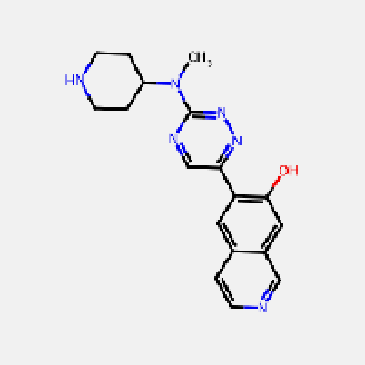 CN(c1ncc(-c2cc3ccncc3cc2O)nn1)C1CCNCC1